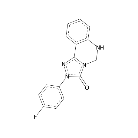 O=c1n(-c2ccc(F)cc2)nc2n1CNc1ccccc1-2